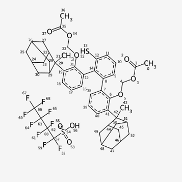 CC(=O)OCOc1c(-c2cccc(S)c2-c2cccc(C3(C)C4CC5CC(C4)CC3C5)c2OCOC(C)=O)cccc1C1(C)C2CC3CC(C2)CC1C3.O=S(=O)(O)C(F)(F)C(F)(F)C(F)(F)C(F)(F)F